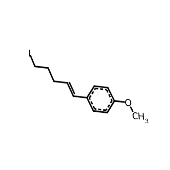 COc1ccc(C=CCCCI)cc1